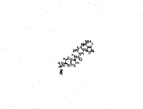 CN(C(=O)c1cc2c(cc1F)nc(N)c1cncn12)[C@@H]1CCc2cc([C@@H]3C[C@H]3C#N)ccc21